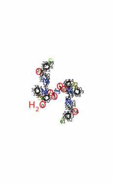 O.O=C(/C=C/C(=O)Oc1cccc2c1N(CCCN1CCC(C(=O)c3ccc(F)cc3)CC1)c1ccccc1S2)Oc1cccc2c1N(CCCN1CCC(C(=O)c3ccc(F)cc3)CC1)c1ccccc1S2